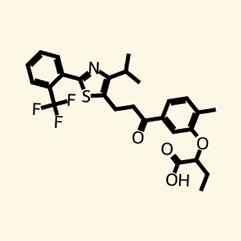 CCC(Oc1cc(C(=O)CCc2sc(-c3ccccc3C(F)(F)F)nc2C(C)C)ccc1C)C(=O)O